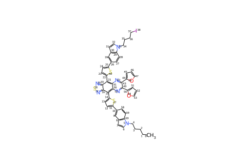 CCCCCn1ccc2cc(-c3ccc(-c4c5nsnc5c(-c5ccc(-c6ccc7c(ccn7CCCCI)c6)s5)c5nc(-c6ccco6)c(-c6ccco6)nc45)s3)ccc21